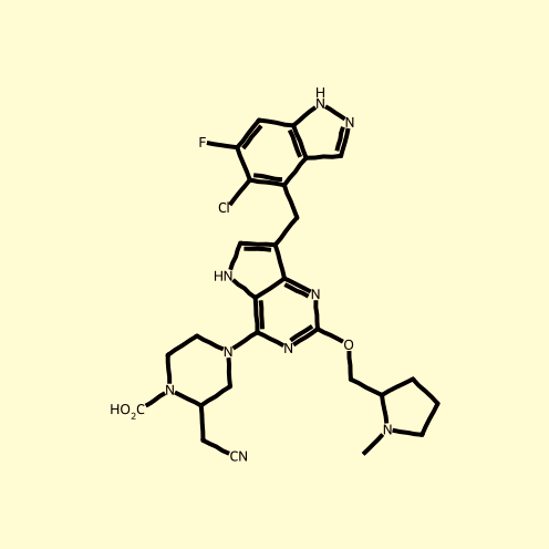 CN1CCCC1COc1nc(N2CCN(C(=O)O)C(CC#N)C2)c2[nH]cc(Cc3c(Cl)c(F)cc4[nH]ncc34)c2n1